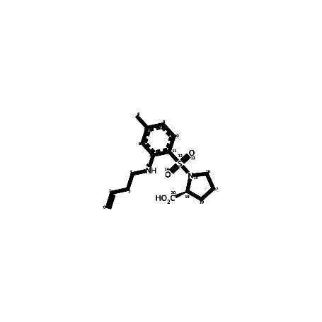 C=CCCNc1cc(C)ccc1S(=O)(=O)N1CCC[C@H]1C(=O)O